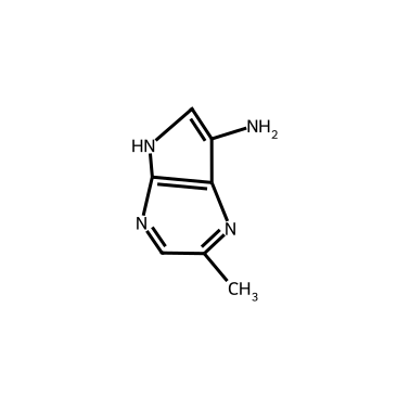 Cc1cnc2[nH]cc(N)c2n1